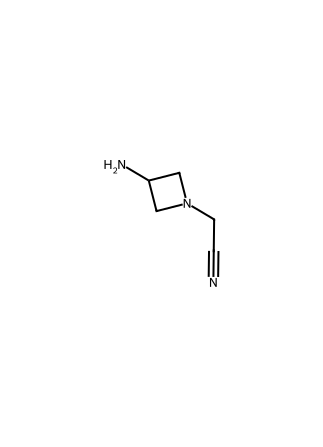 N#CCN1CC(N)C1